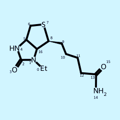 CCN1C(=O)NC2CS[C@@H](CCCCC(N)=O)C21